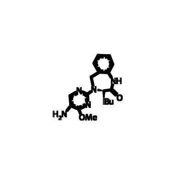 CC[C@H](C)[C@H]1C(=O)Nc2ccccc2CN1c1ncc(N)c(OC)n1